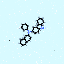 c1ccc(N(c2ccc3ccccc3c2)c2ccc3[nH]c4ccccc4c3c2)cc1